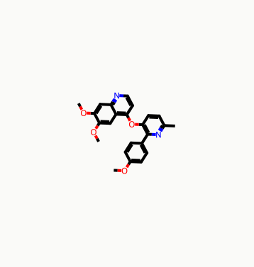 COc1ccc(-c2nc(C)ccc2Oc2ccnc3cc(OC)c(OC)cc23)cc1